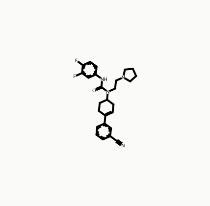 N#Cc1cccc(C2=CCC(N(CCN3CCCC3)C(=O)Nc3ccc(F)c(F)c3)CC2)c1